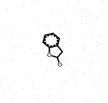 [O]C1Cc2ccccc2O1